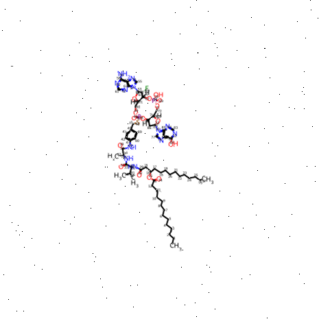 CCCCCCCCCCCCCC(=O)OC(CCCCCCCCCCC)CC(=O)N[C@H](C(=O)N[C@@H](C)C(=O)Nc1ccc(CSP2(=O)OC[C@H]3O[C@@H](n4cnc5c(N)ncnc54)[C@H](F)[C@@H]3OP(=O)(O)OC[C@H]3O[C@@H](n4cnc5c(O)ncnc54)C[C@@H]3O2)cc1)C(C)C